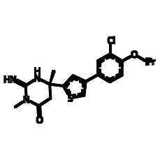 CC(C)Oc1ccc(-c2csc([C@]3(C)CC(=O)N(C)C(=N)N3)c2)cc1Cl